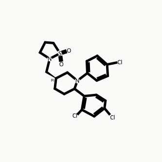 O=S1(=O)CCCN1C[C@@H]1CCC(c2ccc(Cl)cc2Cl)N(c2ccc(Cl)cc2)C1